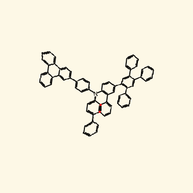 c1ccc(-c2ccc(N(c3ccc(-c4ccc5c6ccccc6c6ccccc6c5c4)cc3)c3ccc(-c4cc(-c5ccccc5)c(-c5ccccc5)cc4-c4ccccc4)cc3-c3ccccc3)cc2)cc1